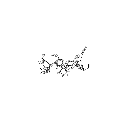 CC(C)(C)N(C(=O)O)C1(c2ccc(-c3nc4c(cc3-c3ccccc3)-c3n[nH]cc3CC4)cc2)CCC1